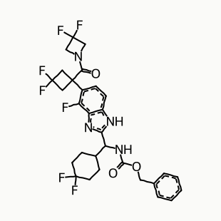 O=C(NC(c1nc2c(F)c(C3(C(=O)N4CC(F)(F)C4)CC(F)(F)C3)ccc2[nH]1)C1CCC(F)(F)CC1)OCc1ccccc1